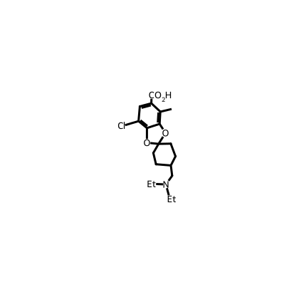 CCN(CC)CC1CCC2(CC1)Oc1c(Cl)cc(C(=O)O)c(C)c1O2